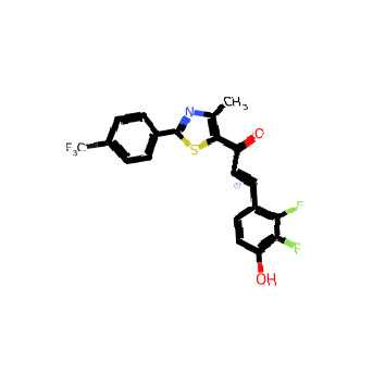 Cc1nc(-c2ccc(C(F)(F)F)cc2)sc1C(=O)/C=C/c1ccc(O)c(F)c1F